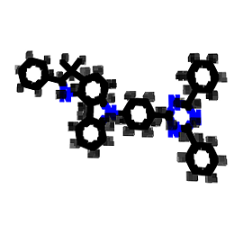 CC1(C)C(c2ccccc2)=Nc2c1ccc1c2c2ccccc2n1-c1ccc(-c2nc(-c3ccccc3)nc(-c3ccccc3)n2)cc1